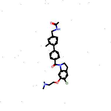 CC(=O)NCc1ccc(-c2ccc(C(=O)N3CCc4cc(Cl)c(OCCN(C)C)cc43)cc2)c(C)c1